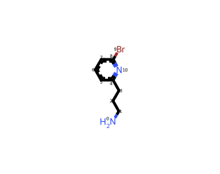 NCCCc1cccc(Br)n1